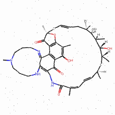 CC(=O)O[C@H]1[C@H](C)[C@H](O)[C@H](C)C[C@@H](C)/C=C/C=C(/C)C(=O)NC2=C3NCCCN(C)CCC/N=C\3c3c(c(O)c(C)c4c3C(=O)[C@@](C)(C/C=C/C[C@H]1C)O4)C2=O